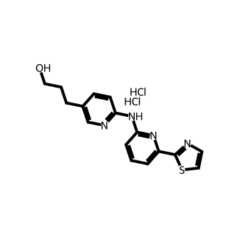 Cl.Cl.OCCCc1ccc(Nc2cccc(-c3nccs3)n2)nc1